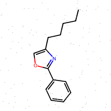 [CH2]CCCCc1coc(-c2ccccc2)n1